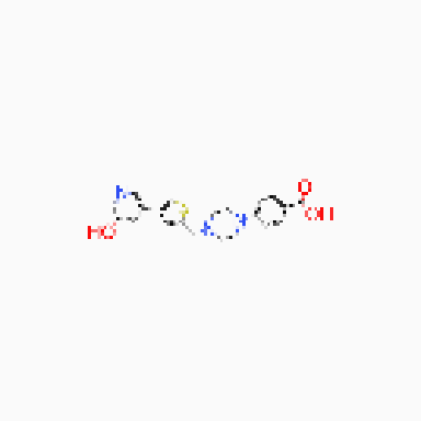 O=C(O)c1ccc(N2CCN(Cc3cc(-c4cncc(O)c4)cs3)CC2)cc1